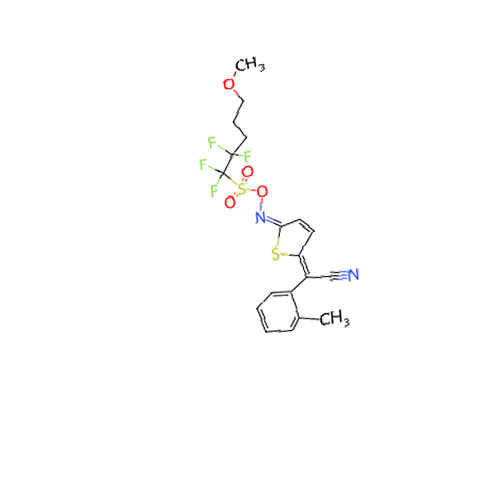 COCCCC(F)(F)C(F)(F)S(=O)(=O)ON=C1C=C/C(=C(\C#N)c2ccccc2C)S1